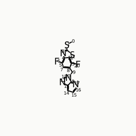 CSc1nc2c(F)cc(Cn3cnc4cccnc43)c(F)c2s1